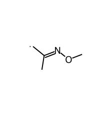 [CH2]/C(C)=N/OC